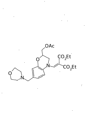 CCOC(=O)C(=CN1CC(COC(C)=O)Oc2cc(CN3CCOCC3)ccc21)C(=O)OCC